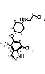 CCCN[C@H]1CC[C@H](Oc2cc(C)c3[nH]ncc3c2C)CC1